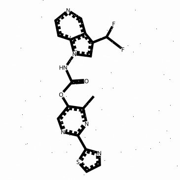 Cc1nc(-c2nccs2)ncc1OC(=O)Nn1cc(C(F)F)c2cnccc21